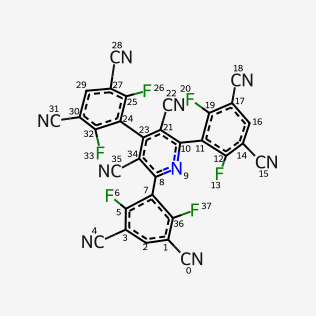 N#Cc1cc(C#N)c(F)c(-c2nc(-c3c(F)c(C#N)cc(C#N)c3F)c(C#N)c(-c3c(F)c(C#N)cc(C#N)c3F)c2C#N)c1F